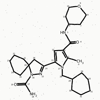 Cc1c(C(=O)NC2CCOCC2)cc(C2=NN(C(N)=O)C3(CCCCC3)C2)n1CC1CCCCC1